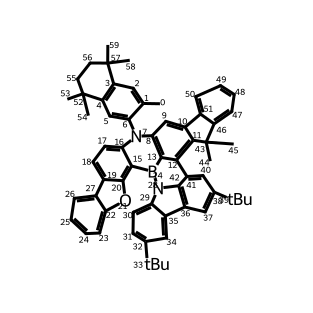 Cc1cc2c(cc1N1c3cc4c(c5c3B(c3c1ccc1c3oc3ccccc31)n1c3ccc(C(C)(C)C)cc3c3cc(C(C)(C)C)cc-5c31)C(C)(C)c1ccccc1-4)C(C)(C)CCC2(C)C